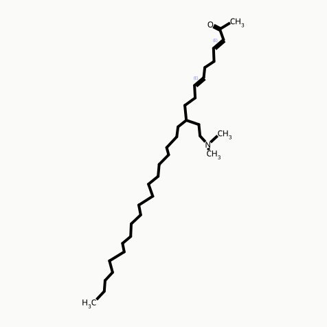 CCCCCCCCCCCCCCCCCCCC(CC/C=C/CC/C=C/C(C)=O)CCN(C)C